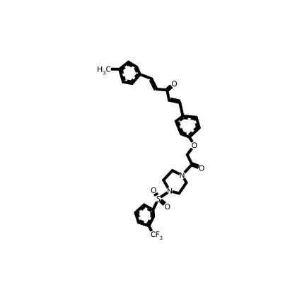 Cc1ccc(C=CC(=O)C=Cc2ccc(OCC(=O)N3CCN(S(=O)(=O)c4cccc(C(F)(F)F)c4)CC3)cc2)cc1